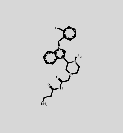 CN1CCN(CC(=O)NC(=O)CCN)CC1c1cn(Cc2ccccc2Cl)c2ccccc12